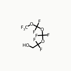 OCC(F)(F)OC(F)(F)OC(F)(F)OC(F)(F)F